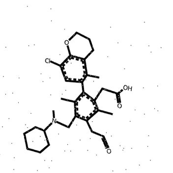 Cc1c(-c2c(C)c(CN(C)C3CCCCC3)c(CC=O)c(C)c2CC(=O)O)cc(Cl)c2c1CCCO2